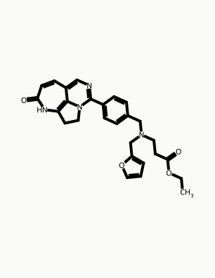 CCOC(=O)CCN(Cc1ccc(C2=NC=C3C=CC(=O)NC4=C3N2CC4)cc1)Cc1ccco1